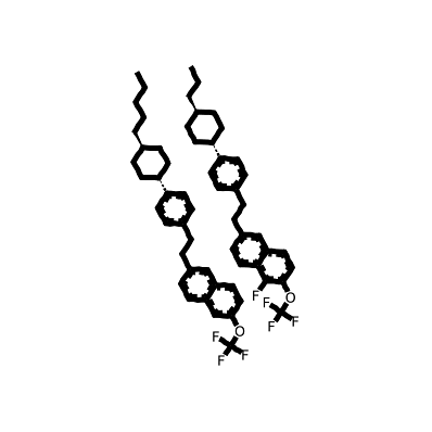 CCCCC[C@H]1CC[C@H](c2ccc(CCc3ccc4cc(OC(F)(F)F)ccc4c3)cc2)CC1.CCC[C@H]1CC[C@H](c2ccc(CCc3ccc4c(F)c(OC(F)(F)F)ccc4c3)cc2)CC1